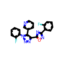 Fc1ccccc1-c1noc(-c2nnn(-c3ccccc3F)c2-c2cccnc2)n1